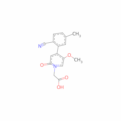 COc1cn(CC(=O)O)c(=O)cc1-c1cc(C)ccc1C#N